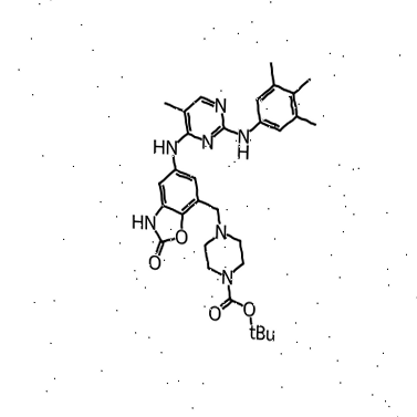 Cc1cnc(Nc2cc(C)c(C)c(C)c2)nc1Nc1cc(CN2CCN(C(=O)OC(C)(C)C)CC2)c2oc(=O)[nH]c2c1